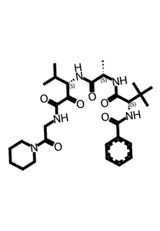 CC(C)[C@H](NC(=O)[C@H](C)NC(=O)[C@@H](NC(=O)c1ccccc1)C(C)(C)C)C(=O)C(=O)NCC(=O)N1CCCCC1